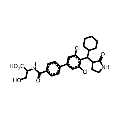 O=C(NC(CO)C(=O)O)c1ccc(-c2cc(Cl)c(C(C3CCCCC3)C3CCNC3=O)c(Cl)c2)cc1